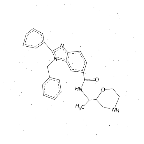 CC(NC(=O)c1ccc2nc(-c3ccccc3)n(Cc3ccccc3)c2c1)C1CNCCO1